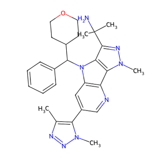 Cc1nnn(C)c1-c1cnc2c3c(c(C(C)(C)N)nn3C)n(C(c3ccccc3)C3CCOCC3)c2c1